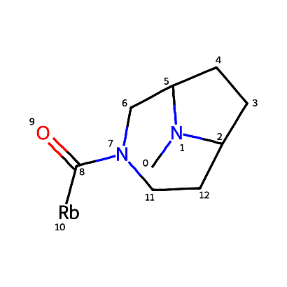 CN1C2CCC1CN([C](=O)[Rb])CC2